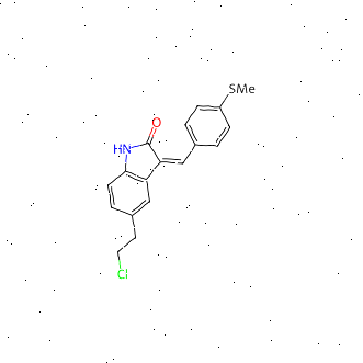 CSc1ccc(C=C2C(=O)Nc3ccc(CCCl)cc32)cc1